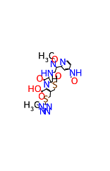 CON=C(C(=O)NC1C(=O)N2C(C(=O)O)=C(CSc3nnnn3C)CS[C@@H]12)c1cc(NC=O)ccn1